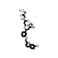 COC(=O)CNC(=O)CCSC(Cc1nnn[nH]1)c1cccc(OCc2ccc3ccc(Cl)cc3n2)c1